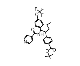 CCCC(c1ccc(C(=O)OC(C)(C)C)cc1)C(NC(=O)c1ccncc1)c1ccc(OC(F)(F)F)cc1